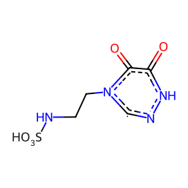 O=c1[nH]n[c]n(CCNS(=O)(=O)O)c1=O